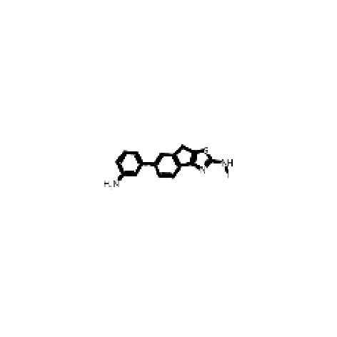 Nc1cccc(-c2ccc3c(c2)Cc2sc(NI)nc2-3)c1